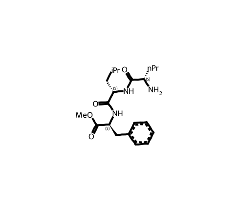 CCC[C@H](N)C(=O)N[C@@H](CC(C)C)C(=O)N[C@@H](Cc1ccccc1)C(=O)OC